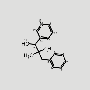 CC(C)(Cc1ccccc1)C(O)c1cccnc1